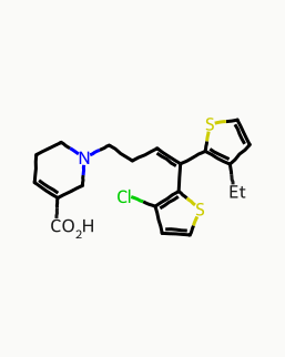 CCc1ccsc1C(=CCCN1CCC=C(C(=O)O)C1)c1sccc1Cl